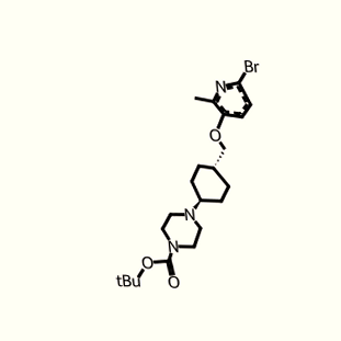 Cc1nc(Br)ccc1OC[C@H]1CC[C@H](N2CCN(C(=O)OC(C)(C)C)CC2)CC1